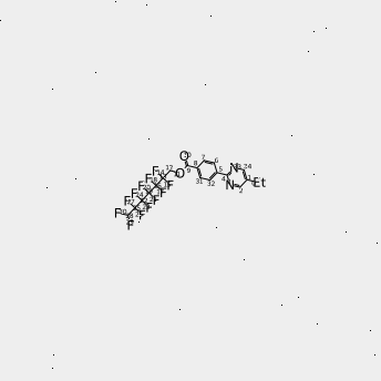 CCc1cnc(-c2ccc(C(=O)OCC(F)(F)C(F)(F)C(F)(F)C(F)(F)C(F)(F)C(F)F)cc2)nc1